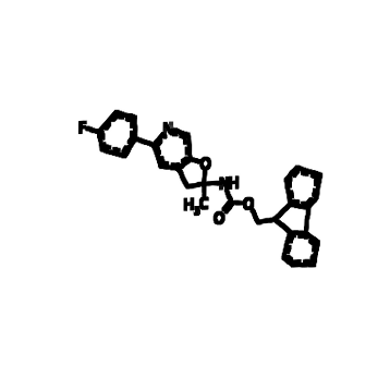 CC1(NC(=O)OCC2c3ccccc3-c3ccccc32)Cc2cc(-c3ccc(F)cc3)ncc2O1